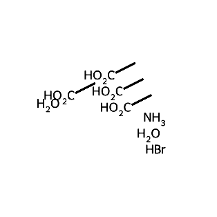 Br.CC(=O)O.CC(=O)O.CC(=O)O.CC(=O)O.N.O.O